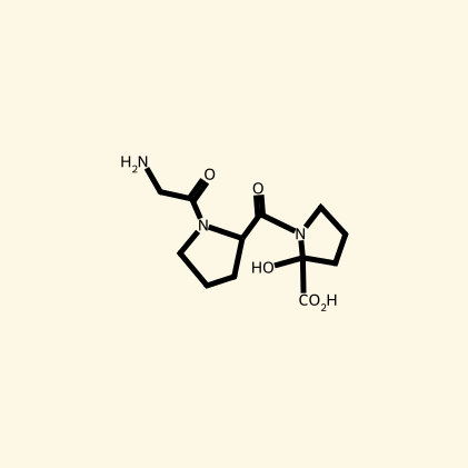 NCC(=O)N1CCCC1C(=O)N1CCCC1(O)C(=O)O